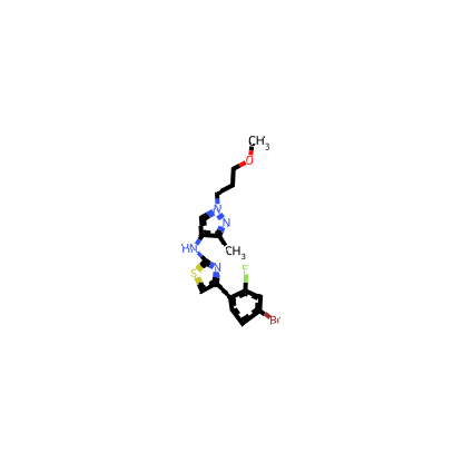 COCCCn1cc(Nc2nc(-c3ccc(Br)cc3F)cs2)c(C)n1